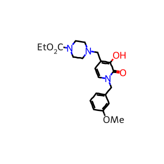 CCOC(=O)N1CCN(Cc2ccn(Cc3cccc(OC)c3)c(=O)c2O)CC1